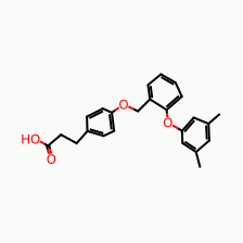 Cc1cc(C)cc(Oc2ccccc2COc2ccc(CCC(=O)O)cc2)c1